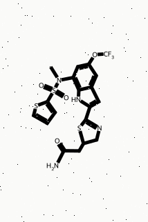 CN(c1cc(OC(F)(F)F)cc2cc(C3=NCC(CC(N)=O)S3)[nH]c12)S(=O)(=O)c1cccs1